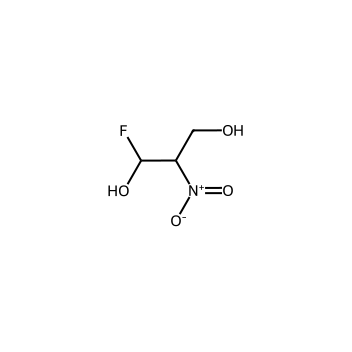 O=[N+]([O-])C(CO)C(O)F